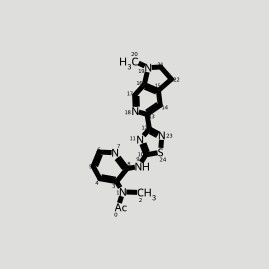 CC(=O)N(C)c1cccnc1Nc1nc(-c2cc3c(cn2)N(C)CC3)ns1